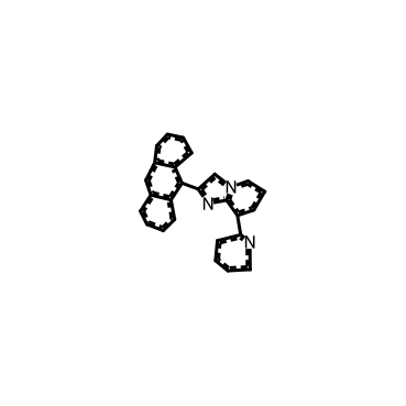 c1ccc(-c2cccn3cc(-c4c5ccccc5cc5ccccc45)nc23)nc1